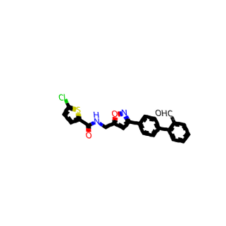 O=Cc1ccccc1-c1ccc(-c2cc(CNC(=O)c3ccc(Cl)s3)on2)cc1